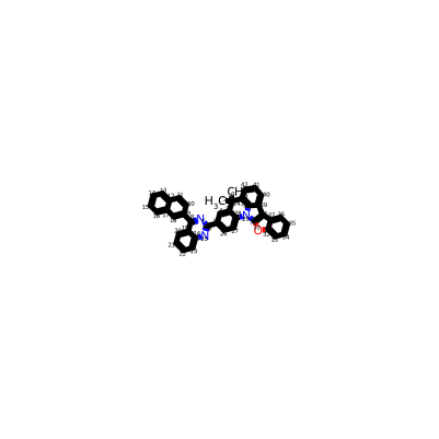 CC1(C)c2cc(-c3nc(-c4ccc5ccccc5c4)c4ccccc4n3)ccc2-n2c3oc4ccccc4c3c3cccc1c32